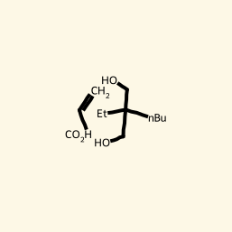 C=CC(=O)O.CCCCC(CC)(CO)CO